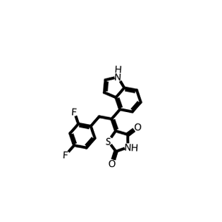 O=C1NC(=O)C(=C(Cc2ccc(F)cc2F)c2cccc3[nH]ccc23)S1